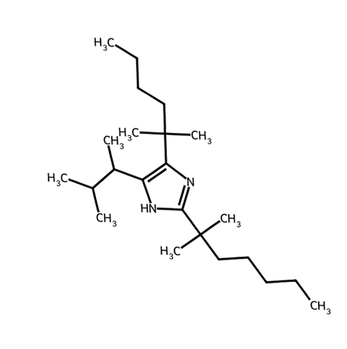 CCCCCC(C)(C)c1nc(C(C)(C)CCCC)c(C(C)C(C)C)[nH]1